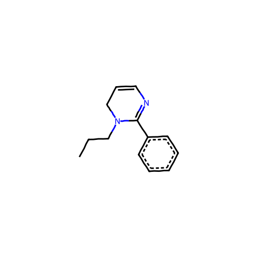 CCCN1CC=CN=C1c1ccccc1